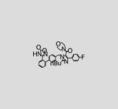 CCCCc1nc(-c2ccc(F)cc2)c(C(=O)N2CCOCC2)n1Cc1ccc(-c2ccccc2-c2noc(=O)[nH]2)cc1